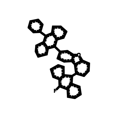 Fc1c2ccccc2c(-c2cccc3oc4cc(-c5c6ccccc6c(-c6ccccc6)c6ccccc56)ccc4c23)c2ccccc12